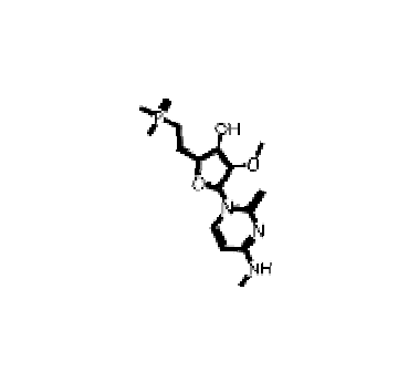 C=C1N=C(NC)C=CN1C1OC(CCP(=C)(C)C)[C@@H](O)[C@H]1OC